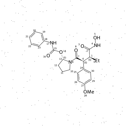 CC[C@H](C(=O)NO)[C@H](C(=O)N1CCC[C@@H]1OC(=O)Nc1ccccc1)c1ccc(OC)cc1